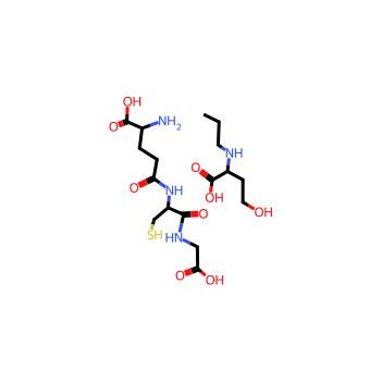 CCCNC(CCO)C(=O)O.NC(CCC(=O)NC(CS)C(=O)NCC(=O)O)C(=O)O